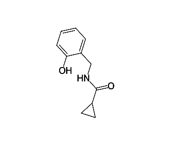 O=C(NCc1ccccc1O)C1CC1